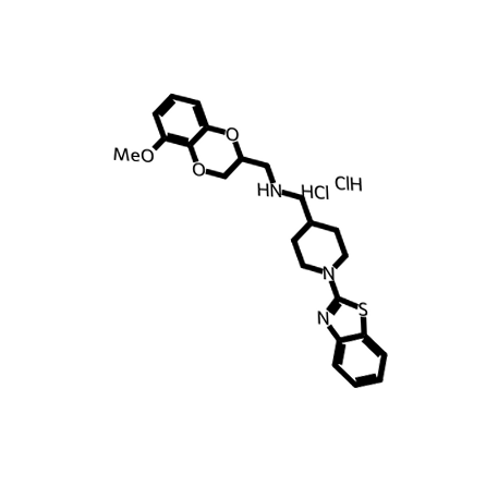 COc1cccc2c1OCC(CNCC1CCN(c3nc4ccccc4s3)CC1)O2.Cl.Cl